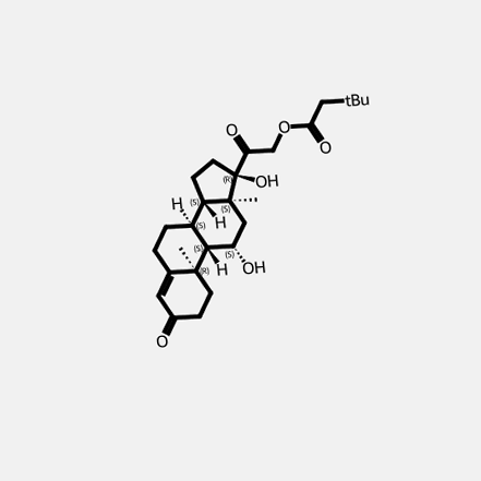 CC(C)(C)CC(=O)OCC(=O)[C@@]1(O)CC[C@H]2[C@@H]3CCC4=CC(=O)CC[C@]4(C)[C@H]3[C@@H](O)C[C@@]21C